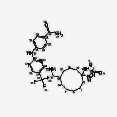 BC1(N[SH](=O)=O)CCCCCC(CNc2nc(Nc3ccc(C(N)=O)cc3)ncc2C(F)(F)F)CCC1